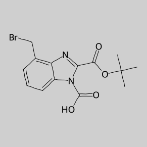 CC(C)(C)OC(=O)c1nc2c(CBr)cccc2n1C(=O)O